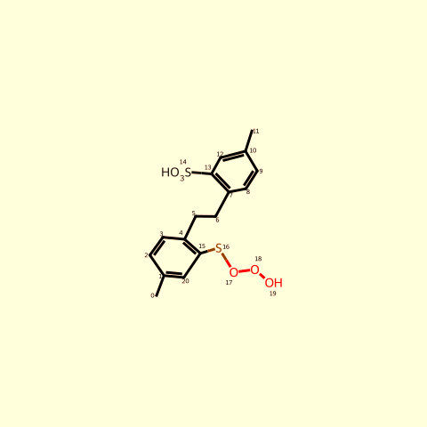 Cc1ccc(CCc2ccc(C)cc2S(=O)(=O)O)c(SOOO)c1